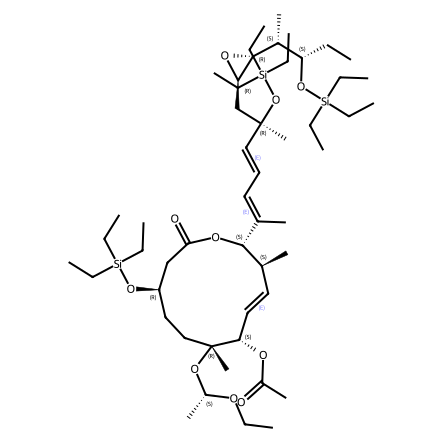 CCO[C@H](C)O[C@]1(C)CC[C@@H](O[Si](CC)(CC)CC)CC(=O)O[C@H](/C(C)=C/C=C/[C@@](C)(C[C@H]2O[C@@H]2[C@H](C)[C@H](CC)O[Si](CC)(CC)CC)O[Si](CC)(CC)CC)[C@@H](C)/C=C/[C@@H]1OC(C)=O